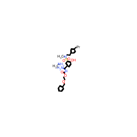 CC(C)c1ccc(CCN(C)S(=O)(=O)c2cc(/C(N)=N/C(=O)OCCOCc3ccccc3)ccc2O)cc1.CN